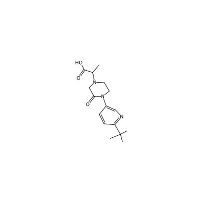 CC(C(=O)O)N1CCN(c2ccc(C(C)(C)C)nc2)C(=O)C1